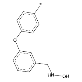 ONCc1cccc(Oc2ccc(F)cc2)c1